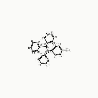 Fc1ccc(N(c2ccc[c]n2)C(c2cccnc2)c2cccnc2)cc1